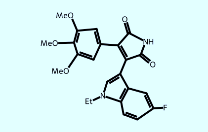 CCn1cc(C2=C(c3cc(OC)c(OC)c(OC)c3)C(=O)NC2=O)c2cc(F)ccc21